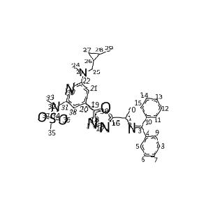 CC(N=C(c1ccccc1)c1ccccc1)c1nnc(-c2cc(N(C)CC3CC3C)nc(N(C)S(C)(=O)=O)c2)o1